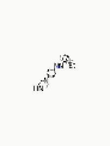 CC[n+]1ccsc1/N=N/c1ccc(N2CCNCC2)cc1